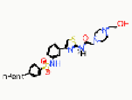 [2H]N(C(=O)CN1CCN(CCO)CC1)c1nc(-c2cccc(NS(=O)(=O)c3ccc(CCCCC)cc3)c2)cs1